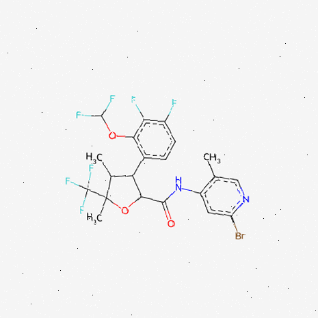 Cc1cnc(Br)cc1NC(=O)C1OC(C)(C(F)(F)F)C(C)C1c1ccc(F)c(F)c1OC(F)F